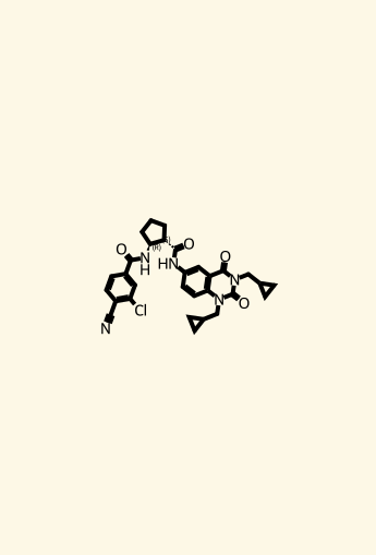 N#Cc1ccc(C(=O)N[C@@H]2CCC[C@@H]2C(=O)Nc2ccc3c(c2)c(=O)n(CC2CC2)c(=O)n3CC2CC2)cc1Cl